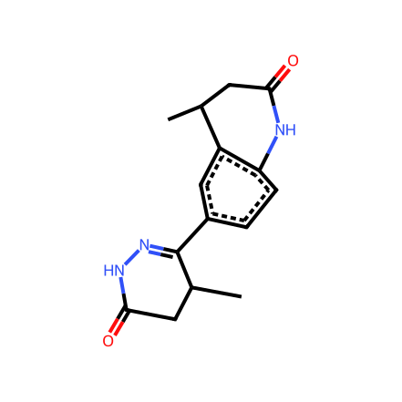 CC1CC(=O)NN=C1c1ccc2c(c1)C(C)CC(=O)N2